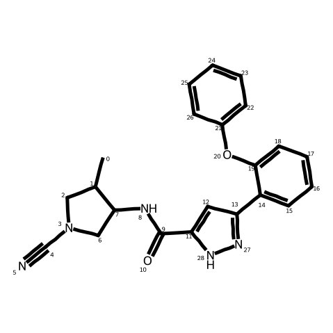 CC1CN(C#N)CC1NC(=O)c1cc(-c2ccccc2Oc2ccccc2)n[nH]1